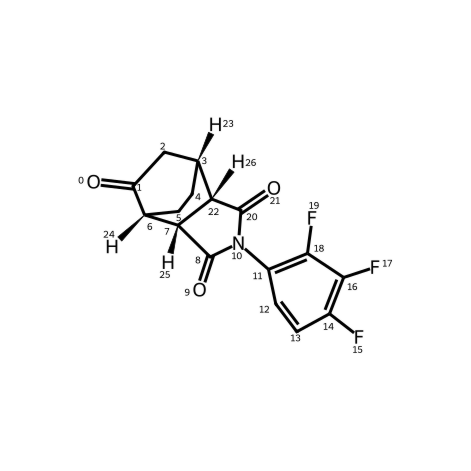 O=C1C[C@H]2CC[C@@H]1[C@H]1C(=O)N(c3ccc(F)c(F)c3F)C(=O)[C@@H]21